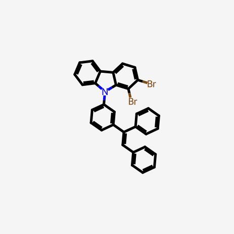 Brc1ccc2c3ccccc3n(-c3cccc(C(=Cc4ccccc4)c4ccccc4)c3)c2c1Br